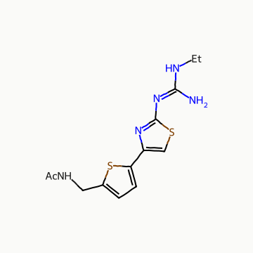 CCN/C(N)=N/c1nc(-c2ccc(CNC(C)=O)s2)cs1